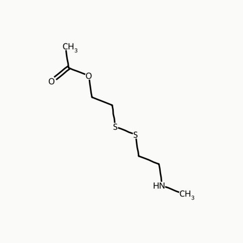 CNCCSSCCOC(C)=O